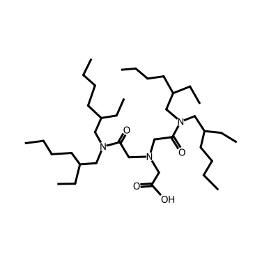 CCCCC(CC)CN(CC(CC)CCCC)C(=O)CN(CC(=O)O)CC(=O)N(CC(CC)CCCC)CC(CC)CCCC